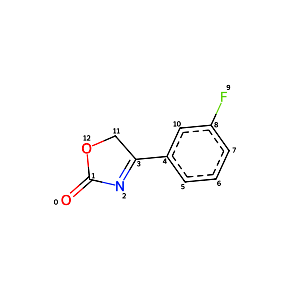 O=C1N=C(c2cccc(F)c2)CO1